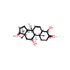 C[C@]12CCC(=O)C(O)C1CC[C@@H]1[C@@H]2[C@@H](O)C[C@]2(C)C(=O)CC[C@@H]12